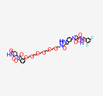 O=C1CCC(N2C(=O)c3cccc(OCCOCCOCCOCCOCCOCCNC(=O)c4cc5cc(N6CC[C@](O)(C(=O)NCc7cc(F)cc(F)c7)C6=O)ccc5[nH]4)c3C2=O)C(=O)N1